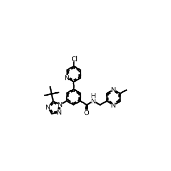 Cc1cnc(CNC(=O)c2cc(-c3ccc(Cl)cn3)cc(-n3ncnc3C(C)(C)C)c2)cn1